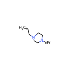 C=CCN1CCN(CCC)CC1